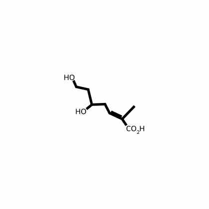 CC(=CCC(O)CCO)C(=O)O